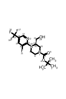 CC(C)(C)OC(=O)N1CCN(c2ncc(C(F)(F)F)cc2F)[C@@H](CO)C1